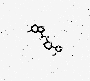 Cc1ccc2[nH]cc(C(=O)Nc3cccc(-c4nncn4C(C)C)n3)c2c1